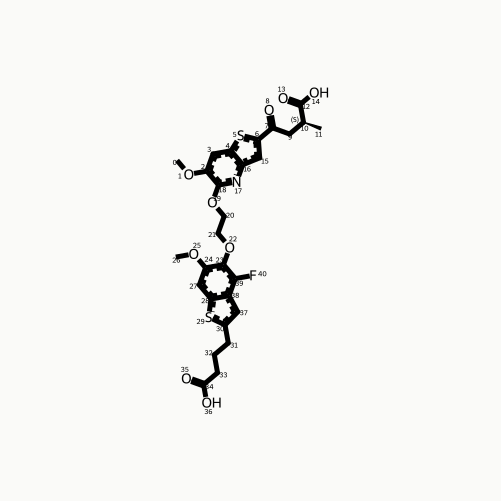 COc1cc2sc(C(=O)C[C@H](C)C(=O)O)cc2nc1OCCOc1c(OC)cc2sc(CCCC(=O)O)cc2c1F